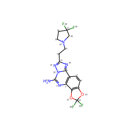 Nc1nc2c3c(ccc2c2nc(CCN4CCC(F)(F)C4)nn12)OC(F)(F)O3